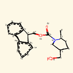 CC1CCC(CO)CN1C(=O)OCC1c2ccccc2-c2ccccc21